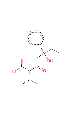 CCC(O)(CC(=O)C(C(=O)O)C(C)C)c1ccccc1